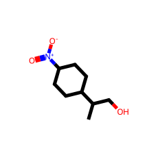 CC(CO)C1CCC([N+](=O)[O-])CC1